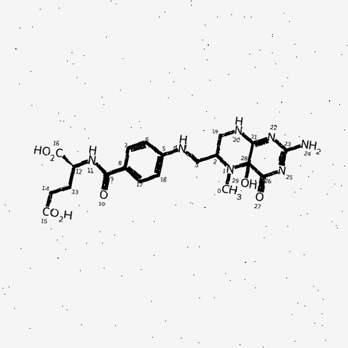 CN1C(CNc2ccc(C(=O)N[C@@H](CCC(=O)O)C(=O)O)cc2)CNC2=NC(N)=NC(=O)C21O